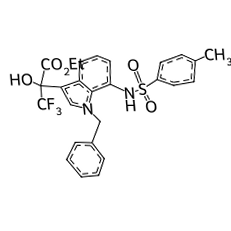 CCOC(=O)C(O)(c1cn(Cc2ccccc2)c2c(NS(=O)(=O)c3ccc(C)cc3)cccc12)C(F)(F)F